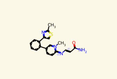 Cc1nc(-c2ccccc2-c2cc/c(=N/C=C/C(N)=O)n(C)c2)cs1